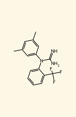 Cc1cc(C)cc(N(C(=N)N)c2ccccc2C(F)(F)F)c1